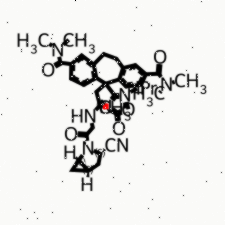 CC(C)n1oc(=O)nc1C1(C[C@H](C)NCC(=O)N2[C@H](C#N)C[C@@H]3C[C@@H]32)c2ccc(C(=O)N(C)C)cc2CCc2cc(C(=O)N(C)C)ccc21